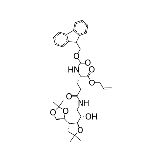 C=CCOC(=O)[C@H](CCC(=O)NC[C@H](O)[C@H]1OC(C)(C)C[C@@H]1[C@H]1COC(C)(C)O1)NC(=O)OCC1c2ccccc2-c2ccccc21